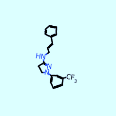 FC(F)(F)c1cccc(N2CCC(NCC=Cc3ccccc3)=N2)c1